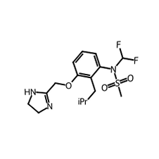 CC(C)Cc1c(OCC2=NCCN2)cccc1N(C(F)F)S(C)(=O)=O